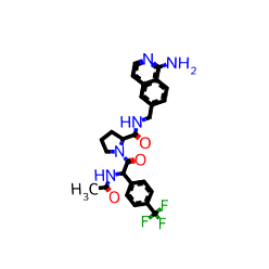 CC(=O)NC(C(=O)N1CCCC1C(=O)NCc1ccc2c(N)nccc2c1)c1ccc(C(F)(F)F)cc1